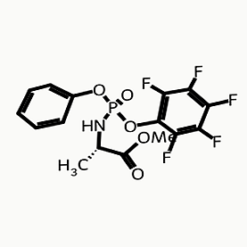 COC(=O)[C@H](C)NP(=O)(Oc1ccccc1)Oc1c(F)c(F)c(F)c(F)c1F